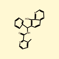 Cc1cccnc1C(=O)NC(c1ccccc1)c1ccc2cccnc2c1O